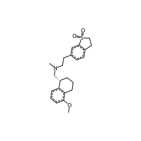 COc1cccc2c1CCC[C@H]2CN(C)CCc1ccc2c(c1)S(=O)(=O)CC2